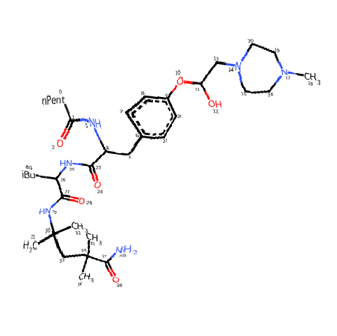 CCCCCC(=O)NC(Cc1ccc(OC(O)CN2CCN(C)CC2)cc1)C(=O)NC(C(=O)NC(C)(C)CC(C)(C)C(N)=O)C(C)CC